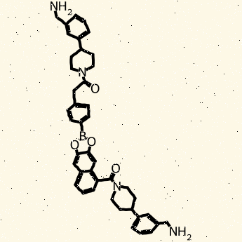 NCc1cccc(C2CCN(C(=O)Cc3ccc(B4Oc5cc6cccc(C(=O)N7CCC(c8cccc(CN)c8)CC7)c6cc5O4)cc3)CC2)c1